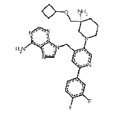 Nc1ncnc2c1ncn2Cc1cc(-c2ccc(F)c(F)c2)ncc1N1CCC[C@](N)(COC2CCC2)C1